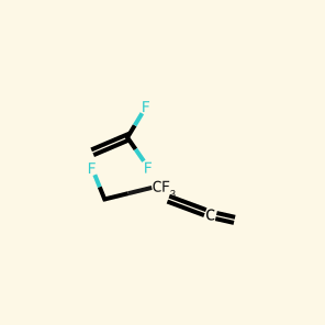 C=C(F)F.C=C=C.FCC(F)(F)F